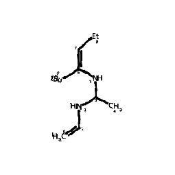 C=CNC(C)N/C(=C\CC)C(C)(C)C